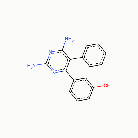 Nc1nc(N)c(-c2ccccc2)c(-c2cccc(O)c2)n1